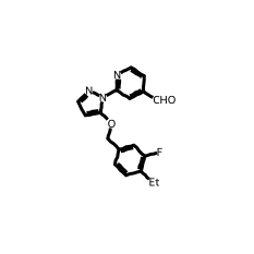 CCc1ccc(COc2ccnn2-c2cc(C=O)ccn2)cc1F